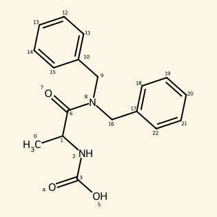 CC(NC(=O)O)C(=O)N(Cc1ccccc1)Cc1ccccc1